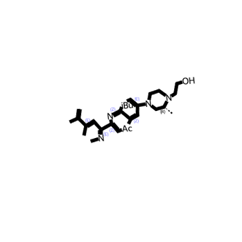 C=C(C)/C(C)=C/C(=N\C)C(=C/C(C)=O)/N=C(\C(C)=C/C(=C\C)N1CCN(CCO)[C@H](C)C1)C(C)CC